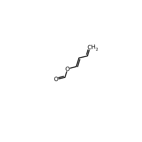 C=CC=COC=O